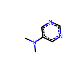 CN(C)c1cncnc1